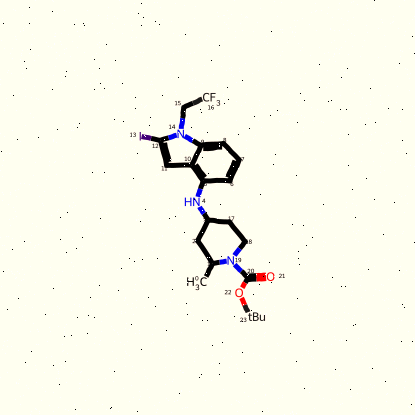 CC1CC(Nc2cccc3c2cc(I)n3CC(F)(F)F)CCN1C(=O)OC(C)(C)C